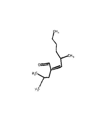 CCCCC(C)/C=C(\C=O)CC(C)C